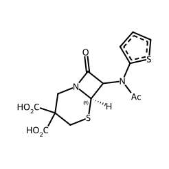 CC(=O)N(c1cccs1)C1C(=O)N2CC(C(=O)O)(C(=O)O)CS[C@H]12